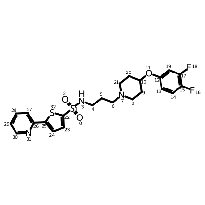 O=S(=O)(NCCCN1CCC(Oc2ccc(F)c(F)c2)CC1)c1ccc(-c2ccccn2)s1